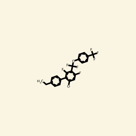 CCc1ccc(-c2c([O])cc(F)c(C(F)(F)Oc3ccc(C(F)(F)F)cc3)c2F)cc1